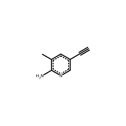 C#Cc1cnc(N)c(C)c1